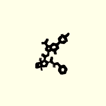 CC(=O)c1nn(CC(=O)N2[C@H](C(=O)NCc3ccccc3)C[C@@]3(C)C#C[C@@H]23)c2c(C)cc(-c3cnc(C)nc3)cc12